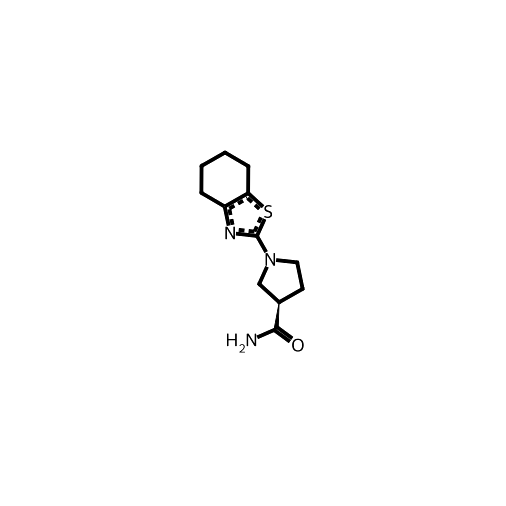 NC(=O)[C@@H]1CCN(c2nc3c(s2)CCCC3)C1